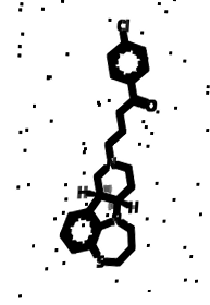 O=C(CCCN1CC[C@H]2[C@@H](C1)c1cccc3c1N2CCCS3)c1ccc(Cl)cc1